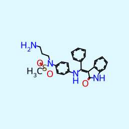 CS(=O)(=O)N(CCCN)c1ccc(N/C(=C2\C(=O)Nc3ccccc32)c2ccccc2)cc1